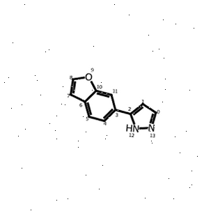 c1cc(-c2ccc3ccoc3c2)[nH]n1